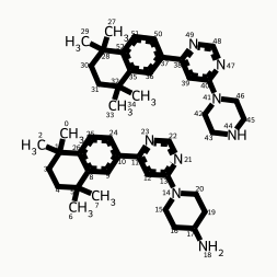 CC1(C)CCC(C)(C)c2cc(-c3cc(N4CCC(N)CC4)ncn3)ccc21.CC1(C)CCC(C)(C)c2cc(-c3cc(N4CCNCC4)ncn3)ccc21